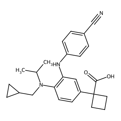 CC(C)N(CC1CC1)c1ccc(C2(C(=O)O)CCC2)cc1Nc1ccc(C#N)cc1